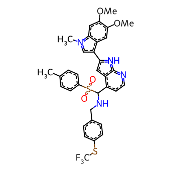 COc1cc2c(-c3cc4c(C(NCc5ccc(SC(F)(F)F)cc5)S(=O)(=O)c5ccc(C)cc5)ccnc4[nH]3)cn(C)c2cc1OC